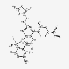 C=CC(=O)C1CCN(c2nc(OC[C@@H]3C[C@@H](F)CN3C)nc3c2C[C@H](C)[C@@H](c2c(F)c(N)cc(C)c2C(F)(F)F)C3)[C@@H](C)C1